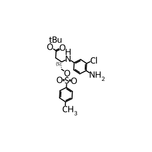 Cc1ccc(S(=O)(=O)OC[C@H](CC(=O)OC(C)(C)C)Nc2ccc(N)c(Cl)c2)cc1